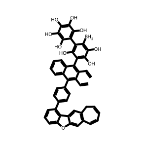 Bc1c(O)c(O)c(-c2c(C=C)c(C=C)c(-c3ccc(-c4cccc5oc6cc7c(cc6c45)CC=CC=C7)cc3)c3ccccc23)c(O)c1-c1c(O)c(O)c(O)c(O)c1O